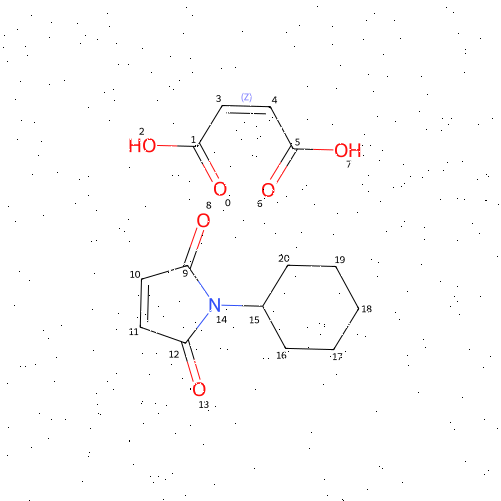 O=C(O)/C=C\C(=O)O.O=C1C=CC(=O)N1C1CCCCC1